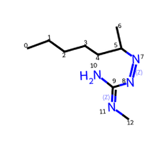 CCCCCC(C)/N=N\C(N)=N/C